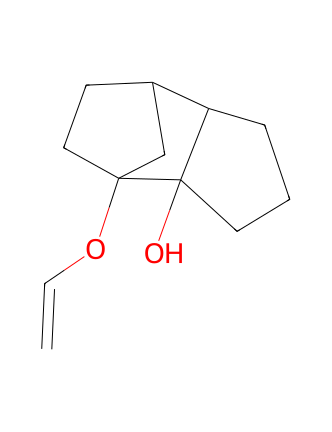 C=COC12CCC(C1)C1CCCC12O